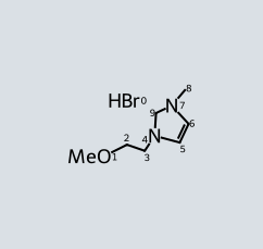 Br.COCCN1C=CN(C)C1